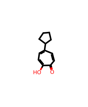 O=c1ccc(C2CCCC2)ccc1O